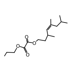 CCCOC(=O)C(=O)OCCC(C)C=C(C)CC(C)C